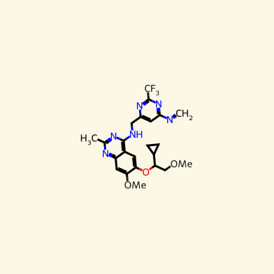 C=Nc1cc(CNc2nc(C)nc3cc(OC)c(OC(COC)C4CC4)cc23)nc(C(F)(F)F)n1